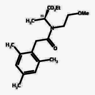 CCOC(=O)[C@H](C)N(CCOC)C(=O)Cc1c(C)cc(C)cc1C